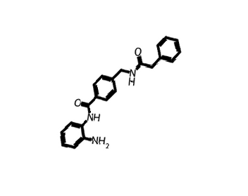 Nc1ccccc1NC(=O)c1ccc(CNC(=O)Cc2ccccc2)cc1